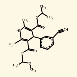 C#Cc1cccc(C2C(C(=O)OC(C)C)=C(C)NC(C)=C2C(=O)OC(C)OC)c1